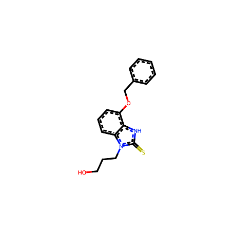 OCCCn1c(=S)[nH]c2c(OCc3ccccc3)cccc21